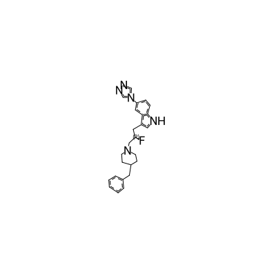 F[C@H](Cc1c[nH]c2ccc(-n3cnnc3)cc12)CN1CCC(Cc2ccccc2)CC1